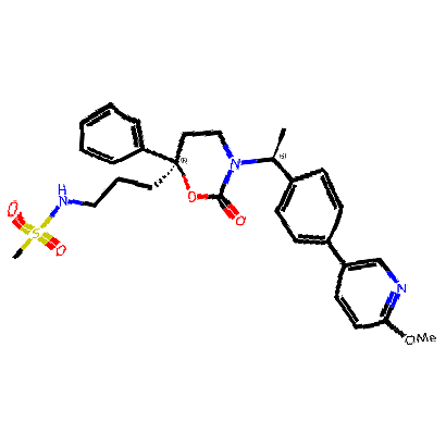 COc1ccc(-c2ccc([C@H](C)N3CC[C@](CCCNS(C)(=O)=O)(c4ccccc4)OC3=O)cc2)cn1